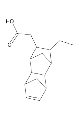 CCC1C(CC(=O)O)C2CC1C1C3C=CC(C3)C21